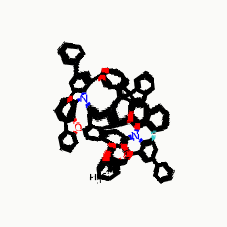 Cc1cccc(-c2cc(-c3ccccc3)cc(F)c2N(c2cc3c(c4ccccc24)-c2ccccc2C3(c2ccccc2)C23c4cccc(c4)-c4cc(-c5ccccc5)cc(-c5ccccc5)c4N(c4cccc5c4oc4ccccc45)c4cc2c(c2ccccc42)-c2ccccc23)c2cccc3c2oc2ccccc23)c1